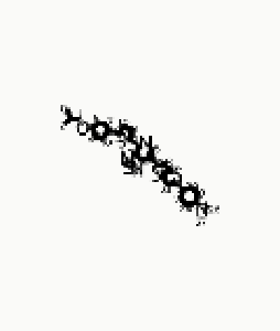 CC(C)COc1ccc(-c2ccc(-c3ncc(-c4cc5sc(-c6ccc(N(C)C)cc6)cc5s4)c4nsnc34)s2)cc1